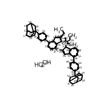 CCC1=Cc2c(-c3ccc(C45CC6CC(CC(C6)C4)C5)cc3)cccc2[CH]1[Zr](=[SiH2])([CH2]C)([CH2]C)[CH]1C(C)=Cc2c(-c3ccc(C45CC6CC(CC(C6)C4)C5)cc3)cccc21.Cl.Cl